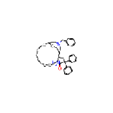 NC(=O)C(CC1CCCCCCCCCCC2CCC1CN(Cc1ccccc1)C2)(c1ccccc1)c1ccccc1